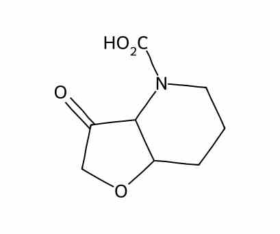 O=C1COC2CCCN(C(=O)O)C12